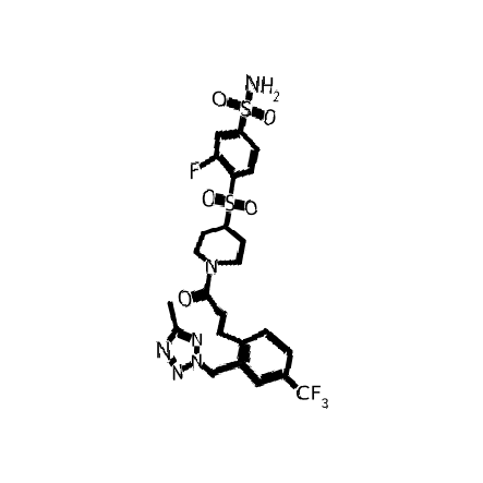 Cc1nnn(Cc2cc(C(F)(F)F)ccc2CCC(=O)N2CCC(S(=O)(=O)c3ccc(S(N)(=O)=O)cc3F)CC2)n1